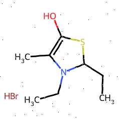 Br.CCC1SC(O)=C(C)N1CC